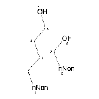 CCCCCCCCCCCCCO.CCCCCCCCCCO